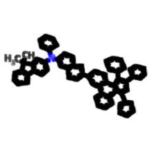 CC1(C)c2ccccc2-c2ccc(N(c3ccccc3)c3ccc4cc(-c5ccc6c(c5)c5ccccc5c5c(-c7ccccc7)cc(-c7ccccc7)c(-c7ccccc7)c65)ccc4c3)cc21